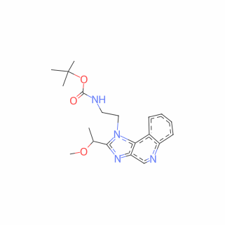 COC(C)c1nc2cnc3ccccc3c2n1CCNC(=O)OC(C)(C)C